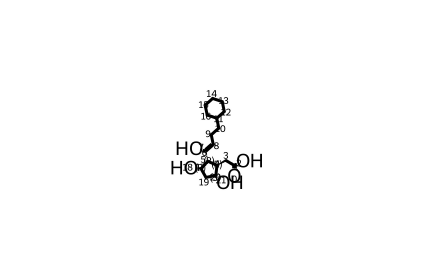 O=C(O)C[C@@H]1[C@@H](C(O)=CCCC2CCCCC2)[C@H](O)C[C@@H]1O